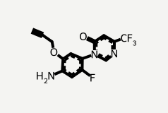 C#CCOc1cc(-n2cnc(C(F)(F)F)cc2=O)c(F)cc1N